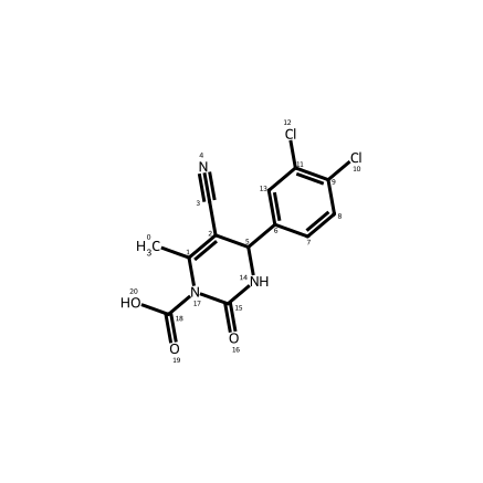 CC1=C(C#N)C(c2ccc(Cl)c(Cl)c2)NC(=O)N1C(=O)O